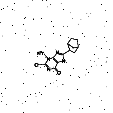 CCCn1c(Cl)nc(=O)c2c1N=C(C1CC3CCC1C3)[N]2